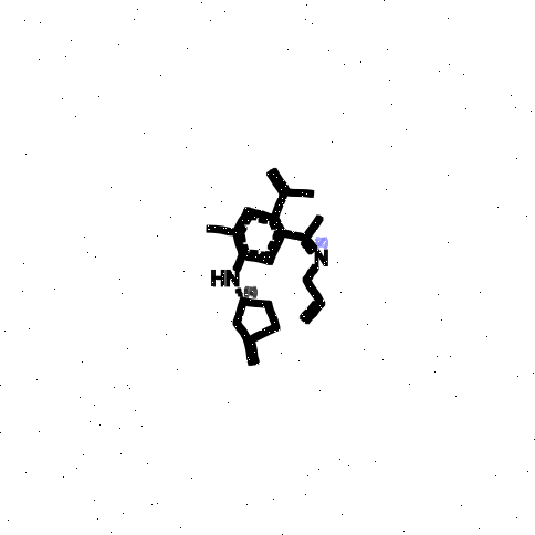 C=CC/N=C(/C)c1cc(N[C@@H]2CCC(=C)C2)c(C)cc1C(=C)C